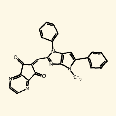 Cn1c(-c2ccccc2)cc2c1nc(C=C1C(=O)c3nccnc3C1=O)n2-c1ccccc1